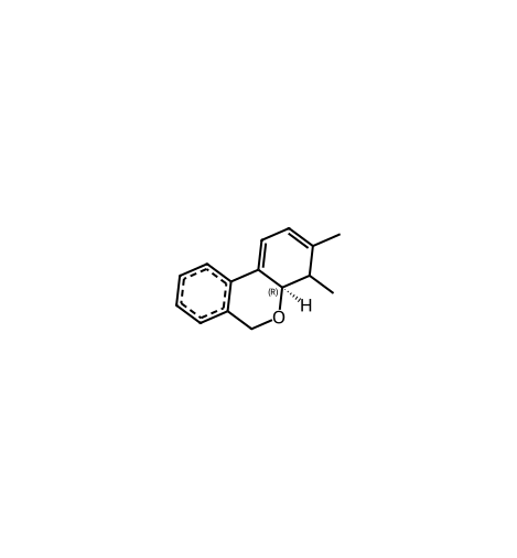 CC1=CC=C2c3ccccc3CO[C@@H]2C1C